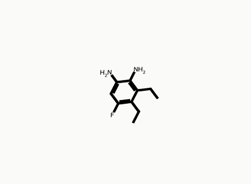 CCc1c(F)cc(N)c(N)c1CC